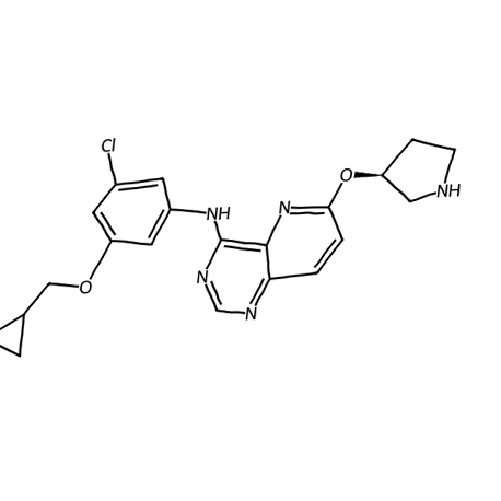 Clc1cc(Nc2ncnc3ccc(O[C@H]4CCNC4)nc23)cc(OCC2CC2)c1